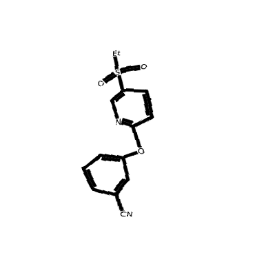 CCS(=O)(=O)c1ccc(Oc2cccc(C#N)c2)nc1